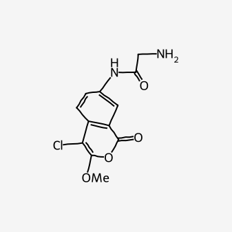 COc1oc(=O)c2cc(NC(=O)CN)ccc2c1Cl